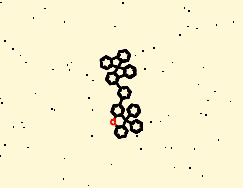 c1ccc(C2(c3ccccc3)c3ccccc3Oc3ccc(-c4cccc(-c5cccc6c5-c5ccccc5C65c6ccccc6-c6ccccc65)c4)cc32)cc1